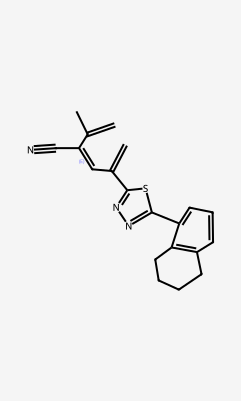 C=C(C)/C(C#N)=C\C(=C)c1nnc(-c2cccc3c2CCCC3)s1